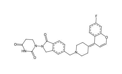 O=C1CCN(N2Cc3cc(CN4CCC(=C5C=COc6cc(F)ccc65)CC4)ccc3C2=O)C(=O)N1